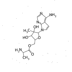 CC(N)C(=O)OCC1OC(n2ccc3c(N)ncnc32)C(C)(O)C1O